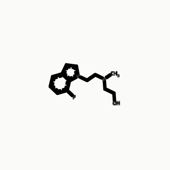 CN(CCO)CCn1ccc2cccc(F)c21